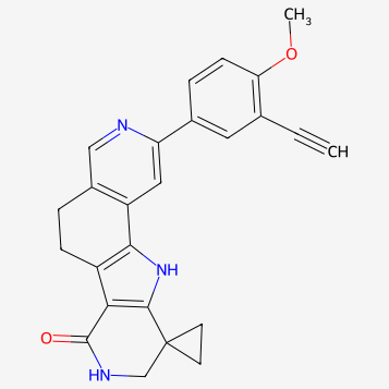 C#Cc1cc(-c2cc3c(cn2)CCc2c-3[nH]c3c2C(=O)NCC32CC2)ccc1OC